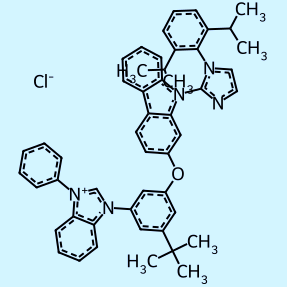 CC(C)c1cccc(C(C)C)c1-n1ccnc1-n1c2ccccc2c2ccc(Oc3cc(-n4c[n+](-c5ccccc5)c5ccccc54)cc(C(C)(C)C)c3)cc21.[Cl-]